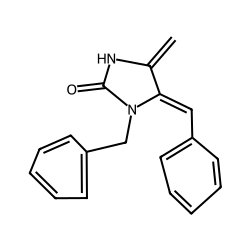 C=c1[nH]c(=O)n(Cc2ccccc2)/c1=C\c1ccccc1